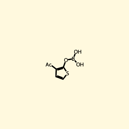 CC(=O)c1ccsc1OB(O)O